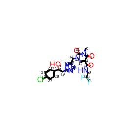 Cn1c(=O)c(C(=O)NCC(F)F)cn(Cc2nnn(C[C@H](O)c3ccc(Cl)cc3)n2)c1=O